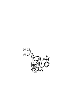 O=C(Nc1nccc(OCC(O)CO)n1)N1c2nc(-c3cccc(C(F)(F)F)c3)ncc2N2CC[C@H]1C2